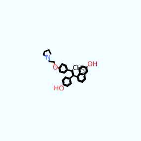 CC(=C(c1ccc(O)cc1)c1cccc2cc(O)ccc12)c1ccc(OCCN2CCCC2)cc1